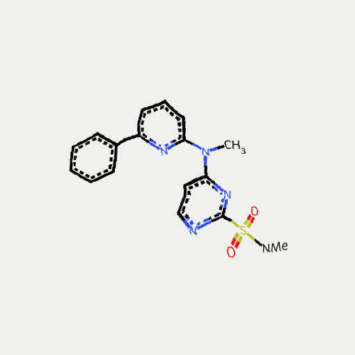 CNS(=O)(=O)c1nccc(N(C)c2cccc(-c3ccccc3)n2)n1